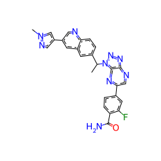 CC(c1ccc2ncc(-c3cnn(C)c3)cc2c1)n1nnc2ncc(-c3ccc(C(N)=O)c(F)c3)nc21